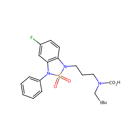 CC(C)(C)CN(CCCN1c2ccc(F)cc2N(c2ccccc2)S1(=O)=O)C(=O)O